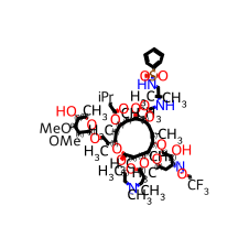 CO[C@@H]1[C@H](O)[C@@H](C)O[C@@H](OCC(C)[C@H]2OC(=O)[C@H](C)[C@@H](O[C@H]3CC(C)N(C)C[C@H](C)O3)[C@H](C)[C@@H](O[C@@H]3O[C@H](C)C/C(=N\OCC(F)(F)F)[C@H]3O)[C@@H](C)C[C@](C)(OC(=O)NC(C)(C)CNS(=O)(=O)c3ccccc3)C(=O)[C@H](C)[C@H](OC(=O)CC(C)C)[C@H]2C)[C@@H]1OC